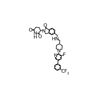 O=C1CCC(N2Cc3cc(CNCC4CCN(c5ncc(-c6cccc(C(F)(F)F)c6)cc5F)CC4)ccc3C2=O)C(=O)N1